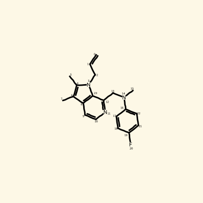 C=CCn1c(C)c(C)c2ccnc(CN(C)c3ccc(F)cc3)c21